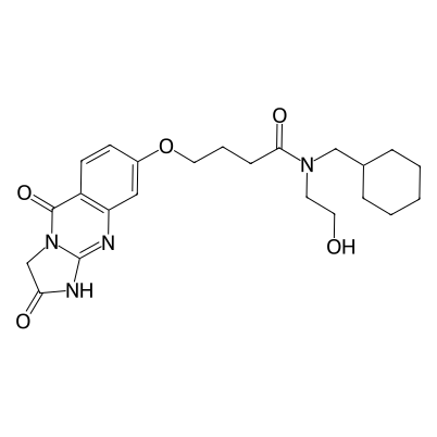 O=C1Cn2c(nc3cc(OCCCC(=O)N(CCO)CC4CCCCC4)ccc3c2=O)N1